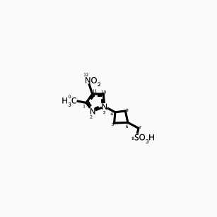 Cc1nn(C2CC(CS(=O)(=O)O)C2)cc1[N+](=O)[O-]